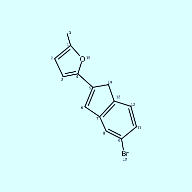 Cc1ccc(C2=Cc3cc(Br)ccc3C2)o1